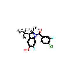 Cc1c([C@](C)(C(=O)O)C(C)C)c2cc(O)c(F)cc2n1C(=O)c1ccc(Cl)c(F)c1